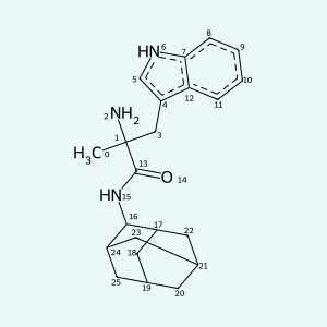 CC(N)(Cc1c[nH]c2ccccc12)C(=O)NC1C2CC3CC(C2)CC1C3